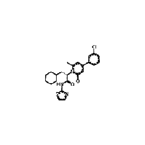 Cc1cc(-c2cccc(Cl)c2)cc(=O)n1[C@@H](CC1CCCCC1)C(=O)Nc1nccs1